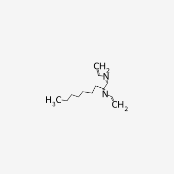 C=C/N=C\C(CCCCCCC)=N/C=C